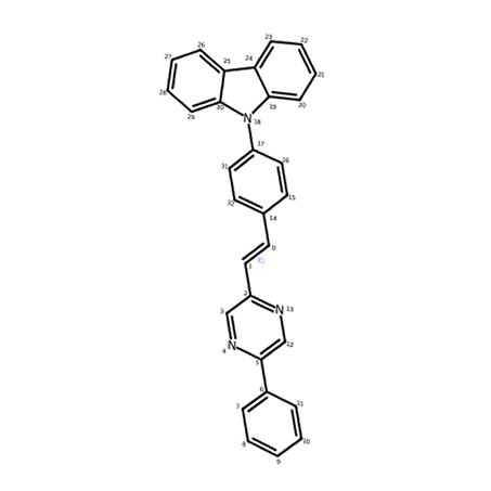 C(=C\c1cnc(-c2ccccc2)cn1)/c1ccc(-n2c3ccccc3c3ccccc32)cc1